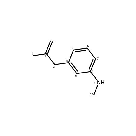 C=C(C)Cc1cccc(NC)c1